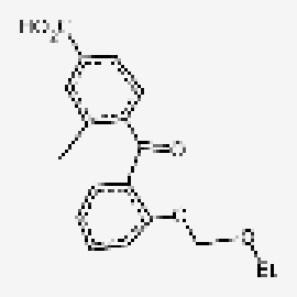 CCOCOc1ccccc1C(=O)c1ccc(C(=O)O)cc1C